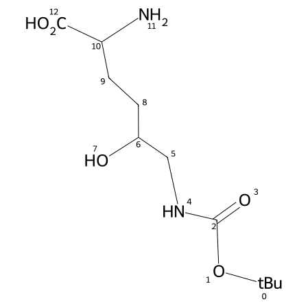 CC(C)(C)OC(=O)NCC(O)CCC(N)C(=O)O